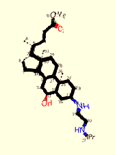 COC(=O)CC[C@@H](C)[C@H]1CCC2C3C[C@H](O)C4CC(NCCNC(C)C)CC[C@]4(C)C3CC[C@@]21C